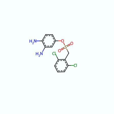 Nc1ccc(OS(=O)(=O)Cc2c(Cl)cccc2Cl)cc1N